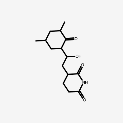 CC1CC(C)C(=O)C(C(O)CC2CCC(=O)NC2=O)C1